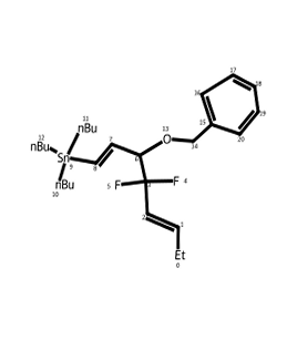 CC/C=C/C(F)(F)C(/C=[CH]/[Sn]([CH2]CCC)([CH2]CCC)[CH2]CCC)OCc1ccccc1